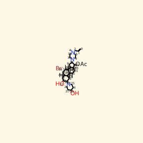 C=CC[N+]1(C)CCN([C@H]2C[C@H]3[C@@H]4CC[C@H]5C[C@H](O)[C@@H](N6CCC(O)CC6)C[C@]5(C)[C@H]4CC[C@]3(C)[C@H]2OC(C)=O)CC1.[Br-]